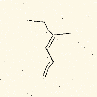 [CH2]CC(C)=CC=C